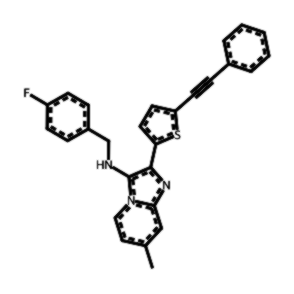 Cc1ccn2c(NCc3ccc(F)cc3)c(-c3ccc(C#Cc4ccccc4)s3)nc2c1